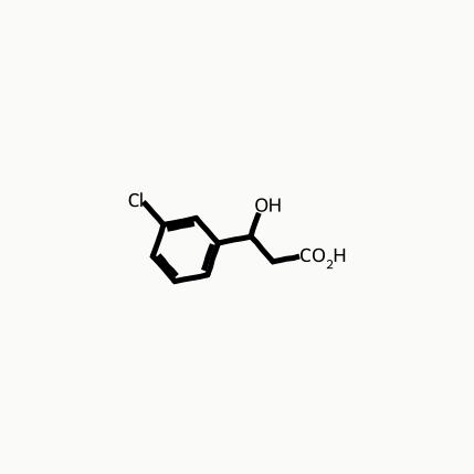 O=C(O)CC(O)c1cccc(Cl)c1